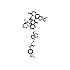 CC(C)[Si](C#Cc1c(F)ccc2cc(O[Si](C(C)C)(C(C)C)C(C)C)cc(-c3ncc4c(N5CCOCC5)nc(OC[C@@]56CCCN5[C@H](COC(=O)Oc5ccc([N+](=O)[O-])cc5)CC6)nc4c3F)c12)(C(C)C)C(C)C